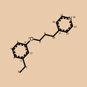 CCc1cccc(OCCCc2ccncc2)c1